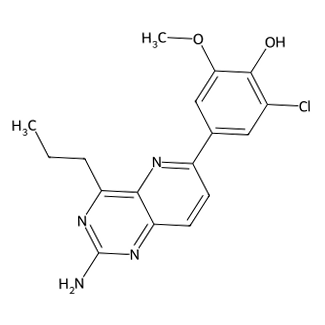 CCCc1nc(N)nc2ccc(-c3cc(Cl)c(O)c(OC)c3)nc12